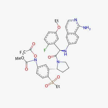 CCOc1ccc(F)c([C@@H](Nc2ccc3c(N)nccc3c2)C(=O)N2CCC[C@@H]2c2cc(N(OC(=O)C(F)(F)F)C(=O)OC)ccc2S(=O)(=O)CC)c1